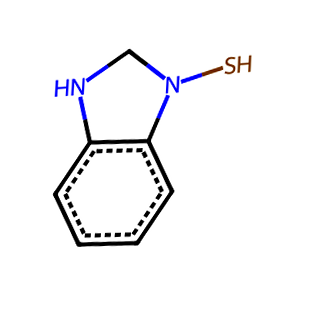 SN1CNc2ccccc21